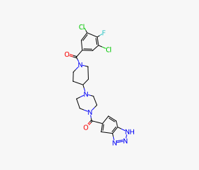 O=C(c1cc(Cl)c(F)c(Cl)c1)N1CCC(N2CCN(C(=O)c3ccc4[nH]nnc4c3)CC2)CC1